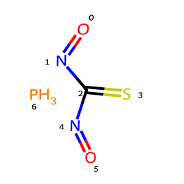 O=NC(=S)N=O.P